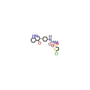 O=C(Nc1ccc(-c2c[nH]c3ccccc3c2=O)cc1)NS(=O)(=O)c1ccc(Cl)s1